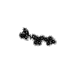 C=C/C(=C\C=C(/C)c1ccc2cc3c(cc2c1)C1(c2ccccc2-c2ccccc21)c1cc2cc(-c4ccc(N(c5ccccc5)c5cccc6c5oc5ccccc56)cc4)ccc2cc1-3)N(c1ccccc1)c1cccc2c1oc1ccccc12